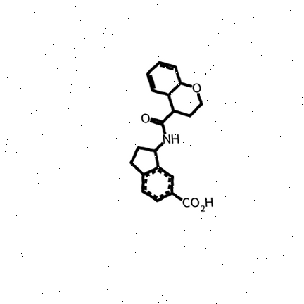 O=C(O)c1ccc2c(c1)C(NC(=O)C1CCOC3C=CC=CC31)CC2